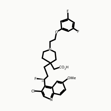 COc1ccc2ncc(Cl)c([C@@H](F)CCC3(CC(=O)O)CCN(CCOc4cc(F)cc(F)c4)CC3)c2c1